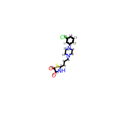 O=C1NC(CCCN2CCN(c3cccc(Cl)c3)CC2)SC1=O